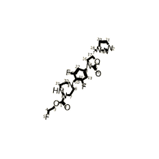 O=C(OCCF)N1CCN(c2c(F)cc(N3C[C@H](Cn4ccnn4)OC3=O)cc2F)CCN1